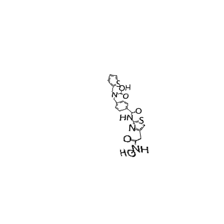 O=C(Cc1csc(NC(=O)c2ccc(CN(Cc3cccs3)C(=O)O)cc2)n1)NO